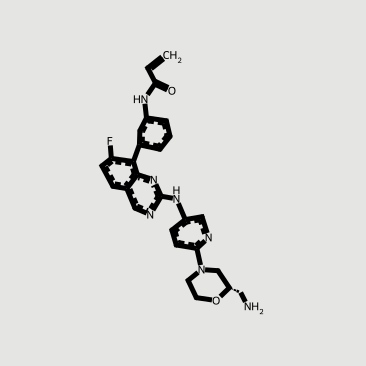 C=CC(=O)Nc1cccc(-c2c(F)ccc3cnc(Nc4ccc(N5CCO[C@@H](CN)C5)nc4)nc23)c1